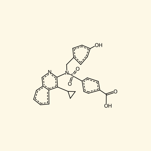 O=C(O)c1ccc(S(=O)(=O)N(Cc2ccc(O)cc2)c2ncc3ccccc3c2C2CC2)cc1